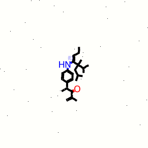 C=C(C)C(=O)C(C)c1ccc(N/C(=C/CC)C(C)(CC(C)C)C(C)C)cc1